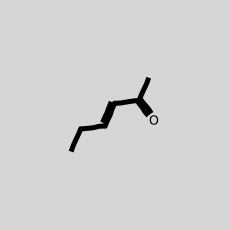 CCC=[C]C(C)=O